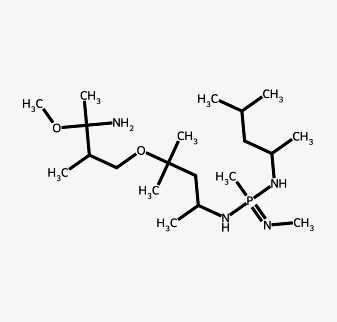 CN=P(C)(NC(C)CC(C)C)NC(C)CC(C)(C)OCC(C)C(C)(N)OC